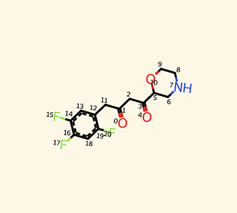 O=C(CC(=O)C1CNCCO1)Cc1cc(F)c(F)cc1F